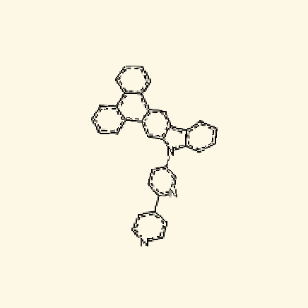 c1ccc2c(c1)c1ccccc1c1cc3c(cc21)c1ccccc1n3-c1ccc(-c2ccncc2)nc1